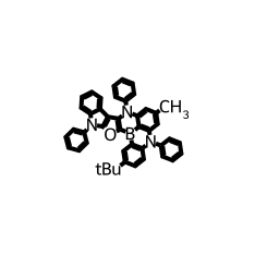 Cc1cc2c3c(c1)N(c1ccccc1)c1c(oc4c1c1ccccc1n4-c1ccccc1)B3c1cc(C(C)(C)C)ccc1N2c1ccccc1